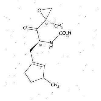 CC1C=C(C[C@H](NC(=O)O)C(=O)[C@]2(C)CO2)CC1